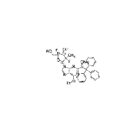 CCOc1nc(N(OC)C(c2ccccc2)(c2ccccc2)c2ccccc2)nc2c1ncn2[C@@H]1O[C@](F)(CO)[C@@H](O)C1(C)F